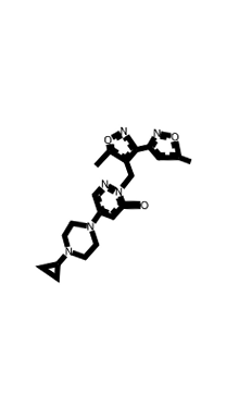 Cc1cc(-c2noc(C)c2Cn2ncc(N3CCN(C4CC4)CC3)cc2=O)no1